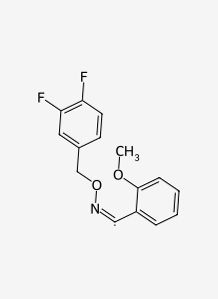 COc1ccccc1/[C]=N\OCc1ccc(F)c(F)c1